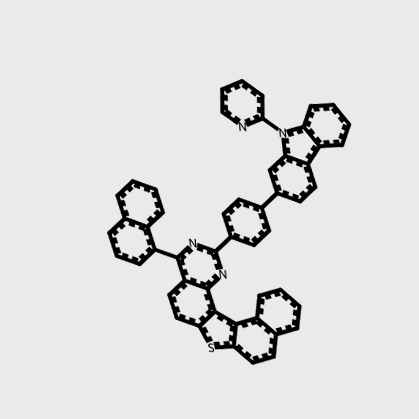 c1ccc(-n2c3ccccc3c3ccc(-c4ccc(-c5nc(-c6cccc7ccccc67)c6ccc7sc8ccc9ccccc9c8c7c6n5)cc4)cc32)nc1